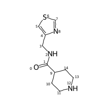 O=C(NCc1cscn1)C1CCNCC1